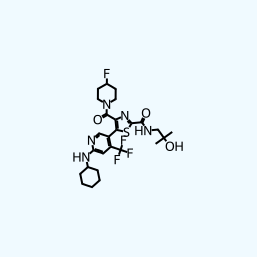 CC(C)(O)CNC(=O)c1nc(C(=O)N2CCC(F)CC2)c(-c2cnc(NC3CCCCC3)cc2C(F)(F)F)s1